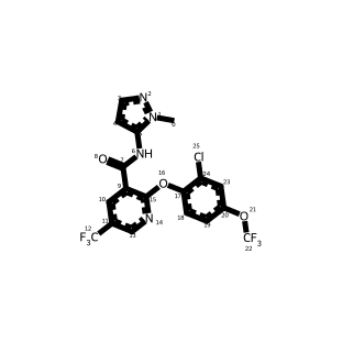 Cn1nccc1NC(=O)c1cc(C(F)(F)F)cnc1Oc1ccc(OC(F)(F)F)cc1Cl